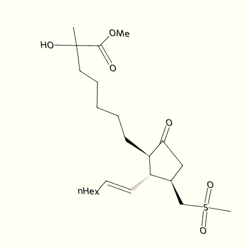 CCCCCCC=C[C@H]1[C@H](CS(C)(=O)=O)CC(=O)[C@@H]1CCCCCC(C)(O)C(=O)OC